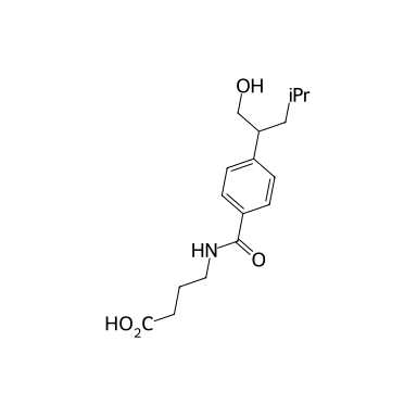 CC(C)CC(CO)c1ccc(C(=O)NCCCC(=O)O)cc1